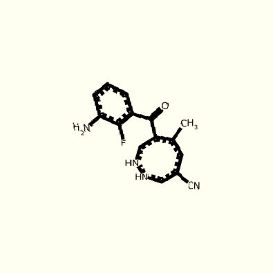 Cc1cc(C#N)c[nH][nH]cc1C(=O)c1cccc(N)c1F